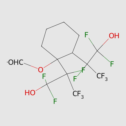 O=[C]OC1(C(F)(C(O)(F)F)C(F)(F)F)CCCCC1C(F)(C(O)(F)F)C(F)(F)F